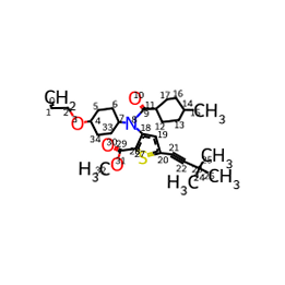 C=CCOC1CCC(N(C(=O)C2CCC(C)CC2)c2cc(C#CC(C)(C)C)sc2C(=O)OC)CC1